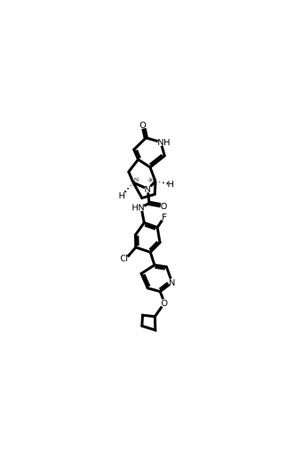 O=C(Nc1cc(Cl)c(-c2ccc(OC3CCC3)nc2)cc1F)N1[C@H]2CC[C@@H]1c1c[nH]c(=O)cc1C2